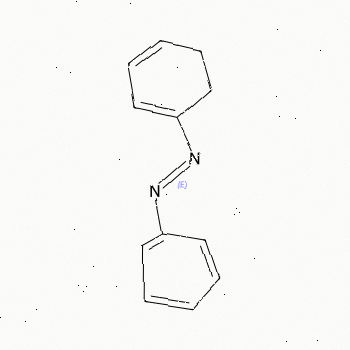 C1=CCCC(/N=N/c2ccccc2)=C1